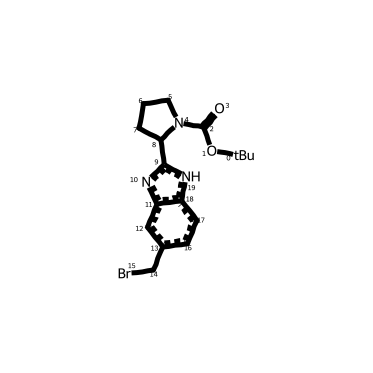 CC(C)(C)OC(=O)N1CCCC1c1nc2cc(CBr)ccc2[nH]1